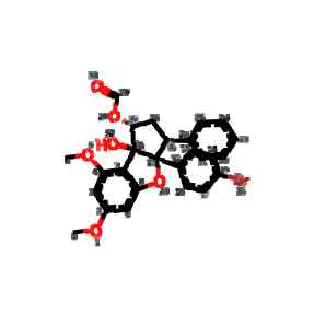 COc1cc(OC)c2c(c1)O[C@@]1(c3ccc(Br)cc3)[C@H](c3ccccc3)C[C@@H](OC=O)[C@@]21O